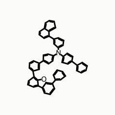 c1ccc(-c2ccc(N(c3ccc(-c4cccc(-c5cccc6c5oc5c(-c7ccccc7)cccc56)c4)cc3)c3cccc(-c4cccc5ccccc45)c3)cc2)cc1